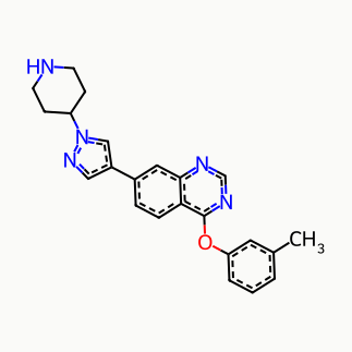 Cc1cccc(Oc2ncnc3cc(-c4cnn(C5CCNCC5)c4)ccc23)c1